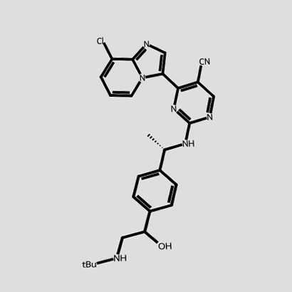 C[C@H](Nc1ncc(C#N)c(-c2cnc3c(Cl)cccn23)n1)c1ccc(C(O)CNC(C)(C)C)cc1